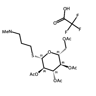 CNCCCS[C@@H]1O[C@H](COC(C)=O)[C@@H](OC(C)=O)[C@H](OC(C)=O)[C@H]1OC(C)=O.O=C(O)C(F)(F)F